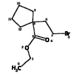 CCOC(=O)C1(CCBr)CCCC1